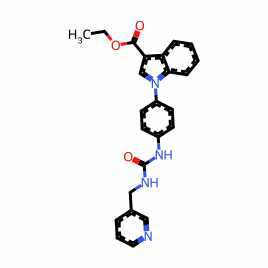 CCOC(=O)c1cn(-c2ccc(NC(=O)NCc3cccnc3)cc2)c2ccccc12